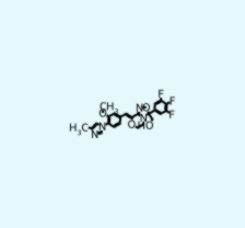 COc1cc(C=C2OCCN3C2=NOC3(CO)c2cc(F)c(F)c(F)c2)ccc1-n1cnc(C)c1